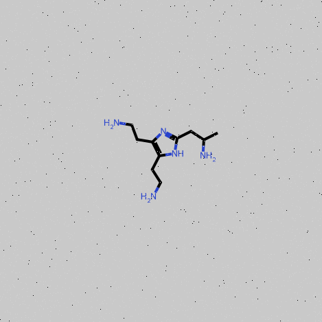 CC(N)Cc1nc(CCN)c(CCN)[nH]1